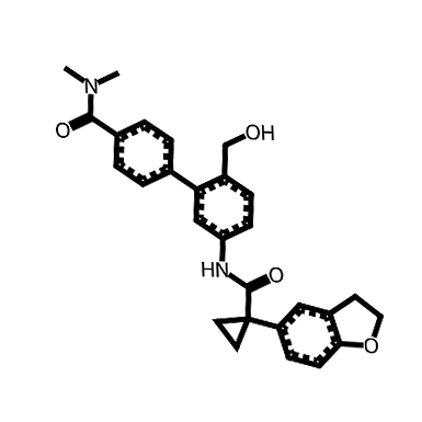 CN(C)C(=O)c1ccc(-c2cc(NC(=O)C3(c4ccc5c(c4)CCO5)CC3)ccc2CO)cc1